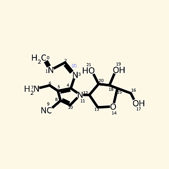 C=N/C=N\c1c(CN)c(C#N)cn1C1COC(CO)C(O)C1O